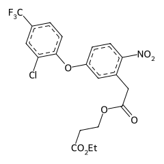 CCOC(=O)CCOC(=O)Cc1cc(Oc2ccc(C(F)(F)F)cc2Cl)ccc1[N+](=O)[O-]